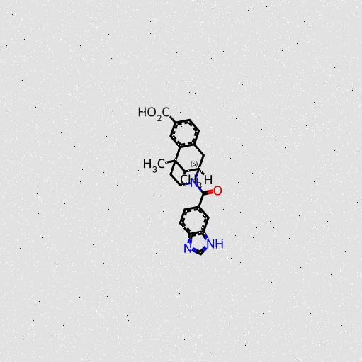 CC1[C@@H]2Cc3ccc(C(=O)O)cc3C1(C)CCN2C(=O)c1ccc2nc[nH]c2c1